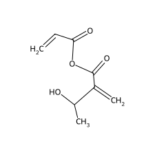 C=CC(=O)OC(=O)C(=C)C(C)O